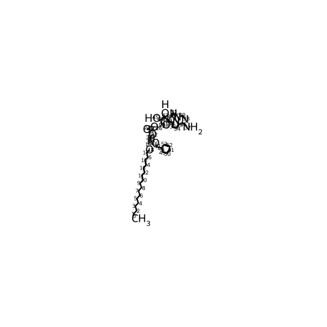 CCCCCCCCCCCCCCCCCCOC[C@H](CO[PH](=O)OC[C@H]1O[C@@](C#N)(c2ccc3c(N)ncnn23)[C@H](O)[C@@H]1O)OCc1ccccc1